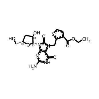 CCOC(=O)c1ccsc1Cn1c(=O)n([C@@H]2O[C@H](CO)C[C@H]2O)c2nc(N)[nH]c(=O)c21